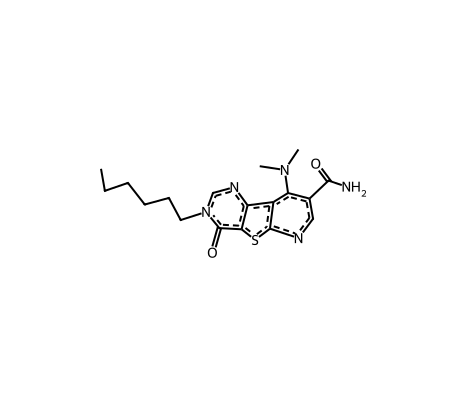 CCCCCCn1cnc2c(sc3ncc(C(N)=O)c(N(C)C)c32)c1=O